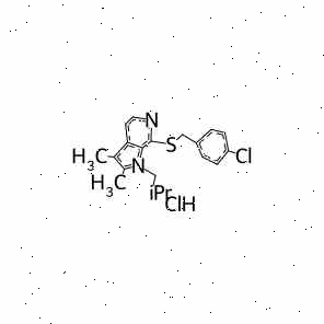 Cc1c(C)n(CC(C)C)c2c(SCc3ccc(Cl)cc3)nccc12.Cl